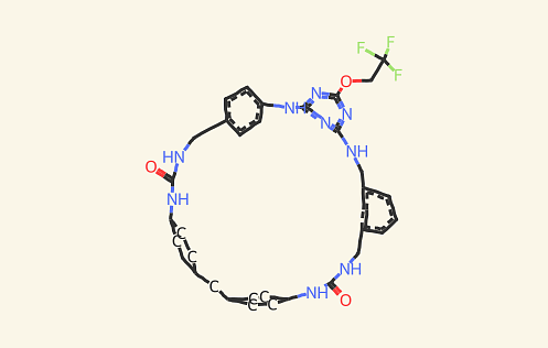 O=C1NCc2ccc(cc2)Nc2nc(nc(OCC(F)(F)F)n2)NCc2cccc(c2)CNC(=O)NC2CCC(CC2)CC2CCC(CC2)N1